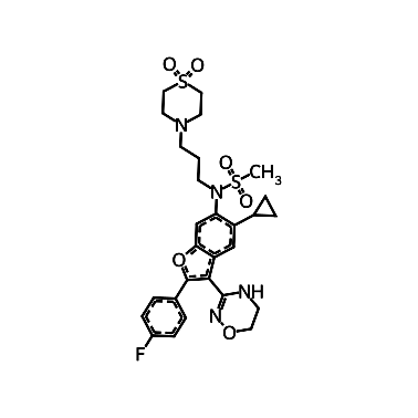 CS(=O)(=O)N(CCCN1CCS(=O)(=O)CC1)c1cc2oc(-c3ccc(F)cc3)c(C3=NOCCN3)c2cc1C1CC1